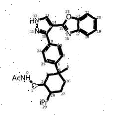 CC(=O)NOC1CC(C)(c2ccc(-c3n[nH]cc3-c3nc4ccccc4o3)cc2)CCC1C(C)C